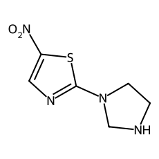 O=[N+]([O-])c1cnc(N2CCNC2)s1